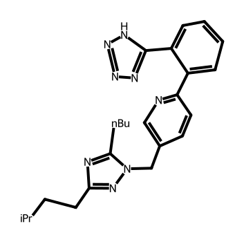 CCCCc1nc(CCC(C)C)nn1Cc1ccc(-c2ccccc2-c2nnn[nH]2)nc1